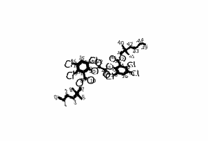 CCCCC(C)(C)COC(=O)c1c(Cl)c(Cl)cc(Cl)c1OC(=O)C(=O)Oc1c(Cl)cc(Cl)c(Cl)c1C(=O)OCC(C)(C)CCCC